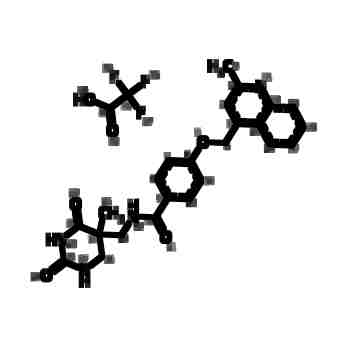 Cc1cc(COc2ccc(C(=O)NCC3(C)CNC(=O)NC3=O)cc2)c2ccccc2n1.O=C(O)C(F)(F)F